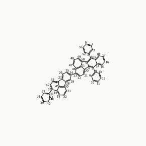 c1ccc(-c2c3c(c(-c4ccccc4)c4ccccc24)-c2ccc(-c4ccc5c(c4)-c4cccc6c(-c7ccccn7)ccc-5c46)c4cccc-3c24)cc1